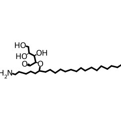 CCCCCCCCCCCCCCCCC(CCCCCN)O[C@@H](C=O)[C@H](O)[C@H](O)CO